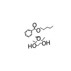 C=C.CCCCCOC(=O)c1ccccc1.CCOCC.OCCO